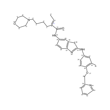 C/C=C(\CCCCN1CCOCC1)C(=O)Nc1ccc2nc(Nc3ccc(OCc4ccccn4)c(C)c3)sc2c1